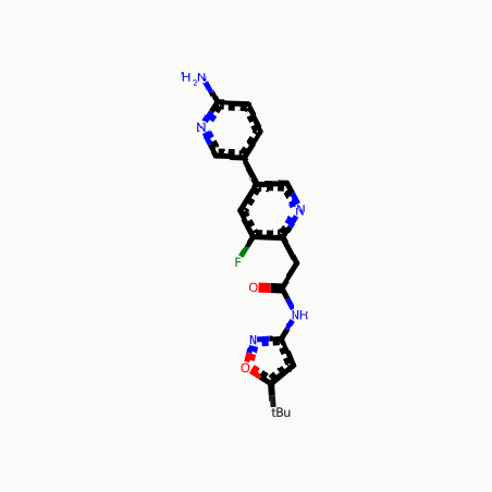 CC(C)(C)c1cc(NC(=O)Cc2ncc(-c3ccc(N)nc3)cc2F)no1